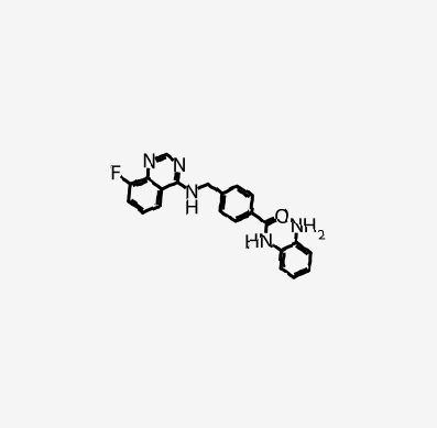 Nc1ccccc1NC(=O)c1ccc(CNc2ncnc3c(F)cccc23)cc1